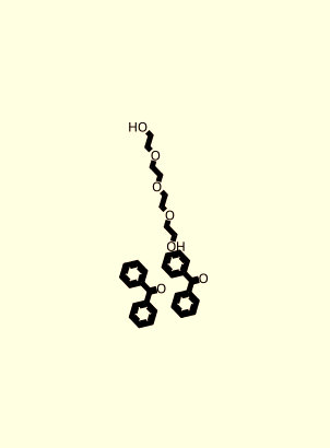 O=C(c1ccccc1)c1ccccc1.O=C(c1ccccc1)c1ccccc1.OCCOCCOCCOCCO